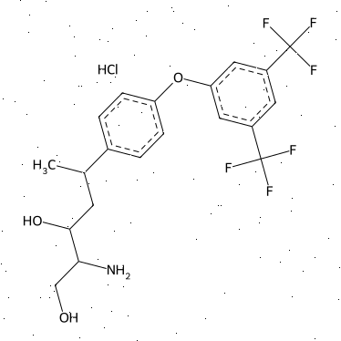 CC(CC(O)C(N)CO)c1ccc(Oc2cc(C(F)(F)F)cc(C(F)(F)F)c2)cc1.Cl